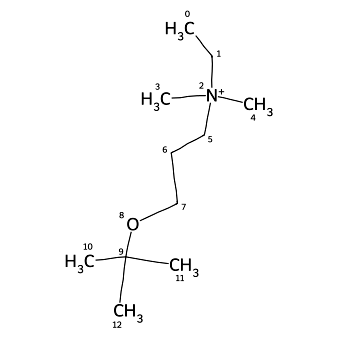 CC[N+](C)(C)CCCOC(C)(C)C